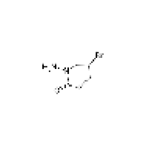 Nn1cc(Br)ccc1=O